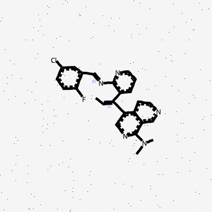 C/C=C(\c1cccnc1/N=C/c1cc(Cl)ccc1F)c1cnc(N(C)C)c2cnccc12